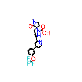 CN1CC[C@](CC#Cc2cc(-c3cccc(OC(F)(F)F)c3)ccn2)(NC(=O)O)C1=O